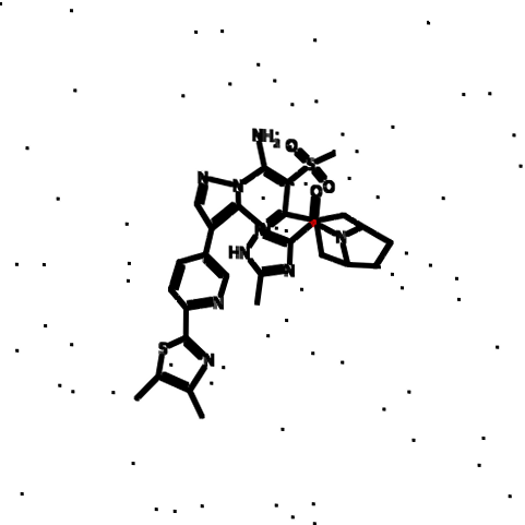 Cc1nc(C(=O)N2C3CCC2CC(c2nc4c(-c5ccc(-c6nc(C)c(C)s6)nc5)cnn4c(N)c2S(C)(=O)=O)C3)n[nH]1